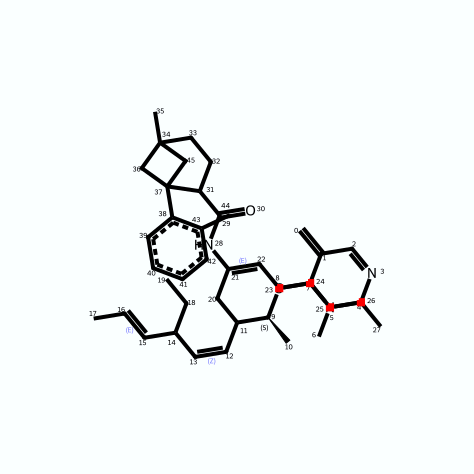 C=C1C=NCN(C)C1S[C@@H](C)C(/C=C\C(/C=C/C)CC)C/C(=C\CCCCC)NC(=O)C1CCC2(C)CC1(c1ccccc1C)C2